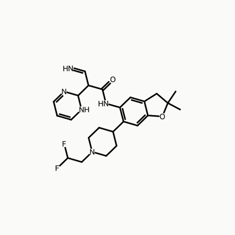 CC1(C)Cc2cc(NC(=O)C(C=N)C3N=CC=CN3)c(C3CCN(CC(F)F)CC3)cc2O1